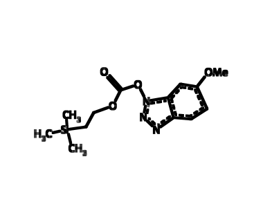 COc1ccc2nnn(OC(=O)OCC[Si](C)(C)C)c2c1